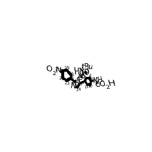 CC(C)(C)NS(=O)(=O)c1cc(NC(=O)O)ccc1-c1cnc(-c2ccc([N+](=O)[O-])cc2)s1